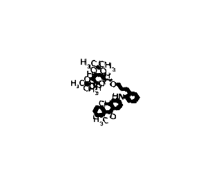 Cc1ccccc1C(=O)c1ccc(Nc2ccccc2/C=C/COC[C@H]2O[C@@H]3OC(C)(C)O[C@@H]3[C@H]3OC(C)(C)O[C@H]32)cc1Cl